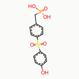 O=P(O)(O)Cc1ccc(S(=O)(=O)c2ccc(O)cc2)cc1